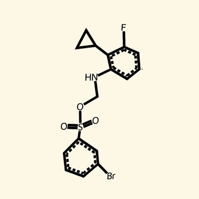 O=S(=O)(OCNc1c[c]cc(F)c1C1CC1)c1cccc(Br)c1